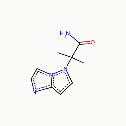 CC(C)(C(N)=O)n1ccc2nccn21